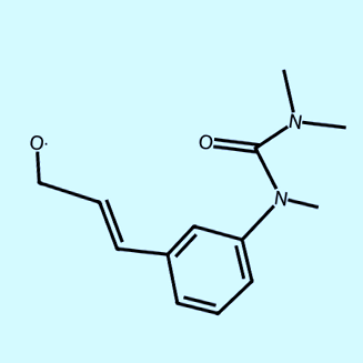 CN(C)C(=O)N(C)c1cccc(C=CC[O])c1